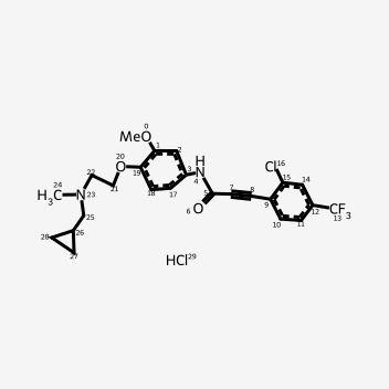 COc1cc(NC(=O)C#Cc2ccc(C(F)(F)F)cc2Cl)ccc1OCCN(C)CC1CC1.Cl